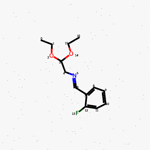 CCOC(CN=Cc1ccccc1F)OCC